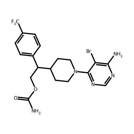 NC(=O)OCC(c1ccc(C(F)(F)F)cc1)C1CCN(c2ncnc(N)c2Br)CC1